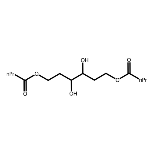 CCCC(=O)OCCC(O)C(O)CCOC(=O)CCC